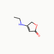 CCNC1=CC(=O)OC1